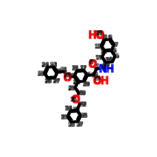 O=C(N[C@H]1CCc2ccc(O)cc2C1)C(O)c1ccc(OCc2ccccc2)c(CCOCc2ccccc2)c1